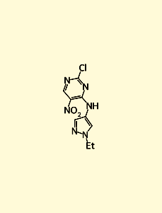 CCn1cc(Nc2nc(Cl)ncc2[N+](=O)[O-])cn1